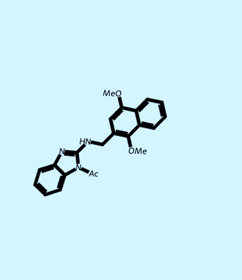 COc1cc(CNc2nc3ccccc3n2C(C)=O)c(OC)c2ccccc12